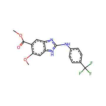 COC(=O)c1cc2nc(Nc3ccc(C(F)(F)F)cc3)[nH]c2cc1OC